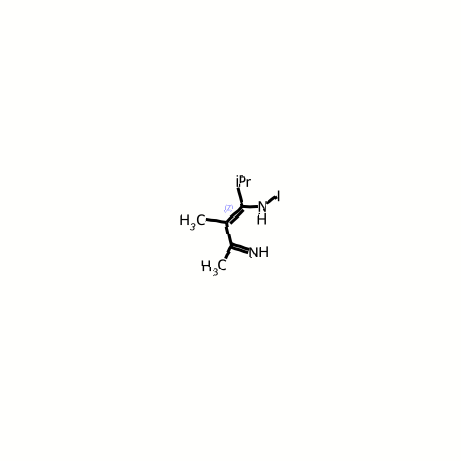 CC(=N)/C(C)=C(\NI)C(C)C